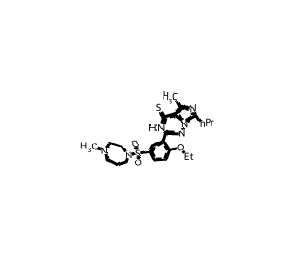 CCCc1nc(C)c2c(=S)[nH]c(-c3cc(S(=O)(=O)N4CCCN(C)CC4)ccc3OCC)nn12